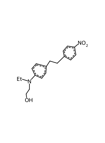 CCN(CCO)c1ccc(CCc2ccc([N+](=O)[O-])cc2)cc1